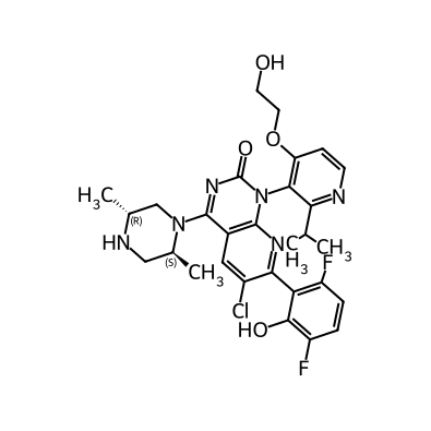 CC(C)c1nccc(OCCO)c1-n1c(=O)nc(N2C[C@@H](C)NC[C@@H]2C)c2cc(Cl)c(-c3c(F)ccc(F)c3O)nc21